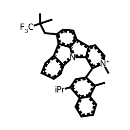 Cc1c(-c2c3c(cc[n+]2C)c2ccc(CC(C)(C)C(F)(F)F)c4c5ccccc5n3c24)cc(C(C)C)c2ccccc12